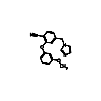 COc1cccc(Oc2cc(Cn3ccnc3)ccc2C#N)c1